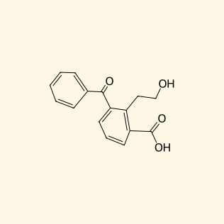 O=C(O)c1cccc(C(=O)c2ccccc2)c1CCO